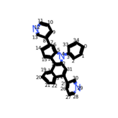 c1ccc(-n2c3cc(-c4cccnc4)ccc3c3c4ccccc4c(-c4cccnc4)cc32)cc1